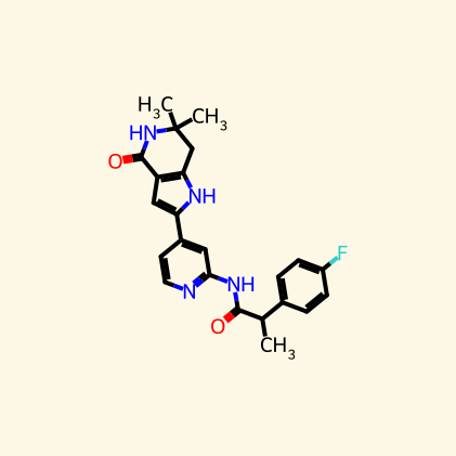 CC(C(=O)Nc1cc(-c2cc3c([nH]2)CC(C)(C)NC3=O)ccn1)c1ccc(F)cc1